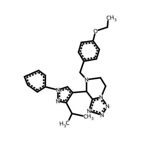 CCOc1ccc(CN2CCn3nnnc3C2c2cn(-c3ccccc3)nc2C(C)C)cc1